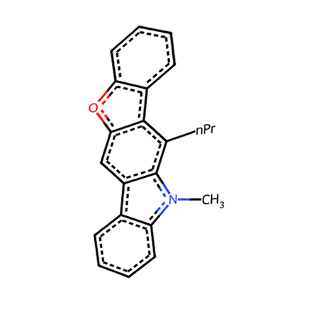 CCCc1c2c(cc3c4ccccc4n(C)c13)oc1ccccc12